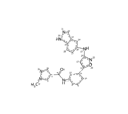 Cn1cc(C(=O)Nc2cccc(-c3cc(Nc4ccc5[nH]ncc5c4)no3)c2)cn1